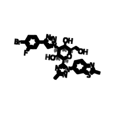 Cc1nc([C@@H]2O[C@H](CO)[C@H](O)[C@H](n3cc(-c4ccc(Br)c(F)c4)nn3)[C@H]2O)n(-c2ccc3nc(C)sc3c2)n1